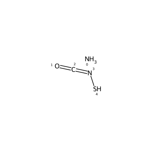 N.O=C=NS